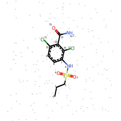 CCCS(=O)(=O)Nc1ccc(Cl)c(C(N)=O)c1Cl